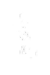 Fc1cccc(C2(c3noc(-c4cc(C(F)F)[nH]n4)n3)CC2)c1Cl